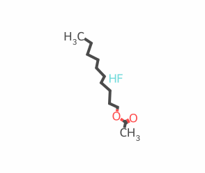 CCCCCCCCCCOC(C)=O.F